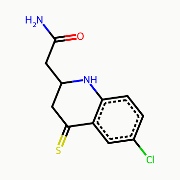 NC(=O)CC1CC(=S)c2cc(Cl)ccc2N1